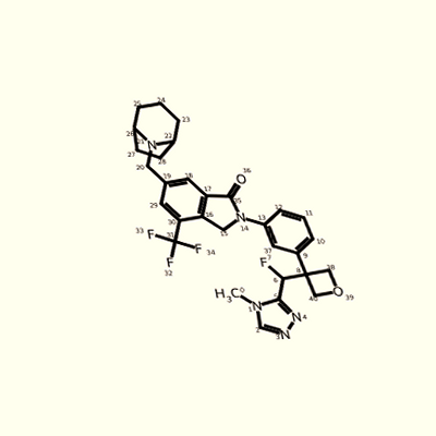 Cn1cnnc1C(F)C1(c2cccc(N3Cc4c(cc(CN5C6CCCC5CC6)cc4C(F)(F)F)C3=O)c2)COC1